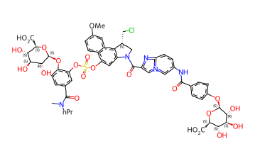 CCCN(C)C(=O)c1ccc(O[C@@H]2O[C@H](C(=O)O)[C@@H](O)[C@H](O)[C@H]2O)c(OS(=O)(=O)Oc2cc3c(c4cc(OC)ccc24)[C@H](CCl)CN3C(=O)c2cn3cc(NC(=O)c4ccc(O[C@@H]5O[C@H](C(=O)O)[C@@H](O)[C@H](O)[C@H]5O)cc4)ccc3n2)c1